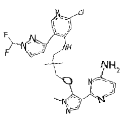 Cn1ncc(-c2nccc(N)n2)c1OCC(C)(C)CNc1cc(Cl)ncc1-c1ccn(C(F)F)n1